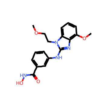 COCCn1c(Nc2cccc(C(=O)NO)c2)nc2c(OC)cccc21